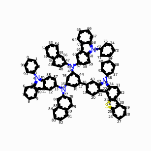 c1ccc(-n2c3ccccc3c3cc(N(c4cc(-c5ccc6c7c8sc9ccccc9c8ccc7n(-c7ccccc7)c6c5)cc(N(c5ccc6ccccc6c5)c5ccc6c(c5)c5ccccc5n6-c5ccccc5)c4)c4ccc5ccccc5c4)ccc32)cc1